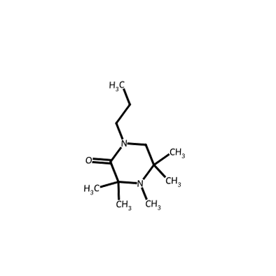 CCCN1CC(C)(C)N(C)C(C)(C)C1=O